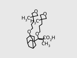 CC(C(=O)O)=C(OCCCC1(C)COC1)C12CC3CC(CC(OCCCC4(C)COC4)(C3)C1)C2